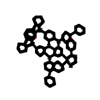 c1ccc(-c2ccc(N3c4ccc(-n5c6ccccc6c6ccccc65)cc4B4c5cc(-n6c7ccccc7c7ccccc76)ccc5N(c5ccc(-c6ccccc6)cc5)c5cc(-c6c(-c7ccccc7)ncnc6-c6ccccc6)cc3c54)cc2)cc1